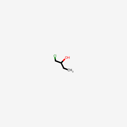 C[CH]C(O)CCl